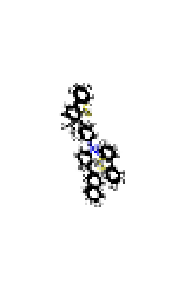 C[Si]1(C)c2cc(N(c3cccc(-c4ccc5ccccc5c4)c3)c3cccc4c3sc3ccccc34)ccc2-c2c1ccc1c2sc2ccccc21